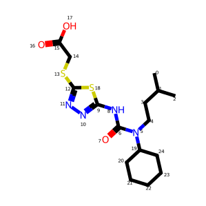 CC(C)CCN(C(=O)Nc1nnc(SCC(=O)O)s1)C1CCCCC1